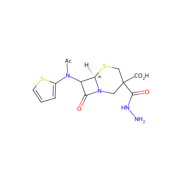 CC(=O)N(c1cccs1)C1C(=O)N2CC(C(=O)O)(C(=O)NN)CS[C@H]12